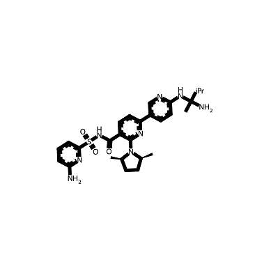 CC(C)C(C)(N)Nc1ccc(-c2ccc(C(=O)NS(=O)(=O)c3cccc(N)n3)c(N3[C@H](C)CC[C@@H]3C)n2)cn1